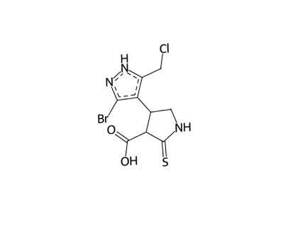 O=C(O)C1C(=S)NCC1c1c(Br)n[nH]c1CCl